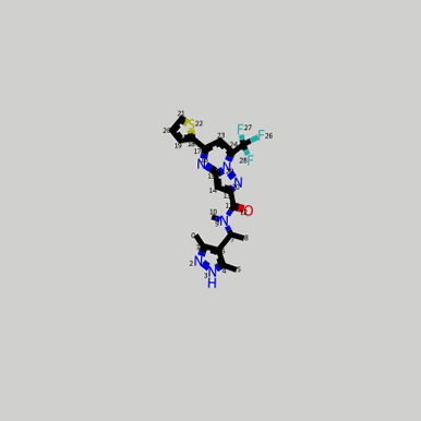 Cc1n[nH]c(C)c1C(C)N(C)C(=O)c1cc2nc(-c3cccs3)cc(C(F)(F)F)n2n1